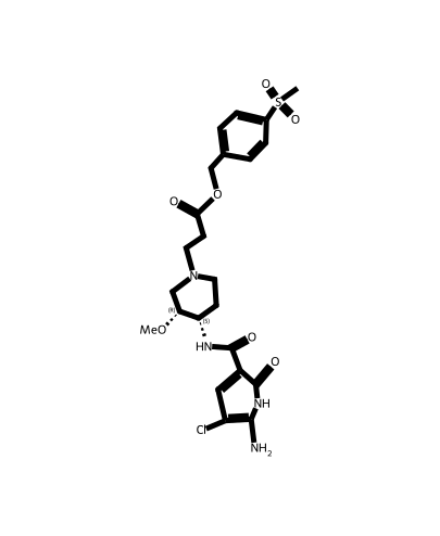 CO[C@@H]1CN(CCC(=O)OCc2ccc(S(C)(=O)=O)cc2)CC[C@@H]1NC(=O)c1cc(Cl)c(N)[nH]c1=O